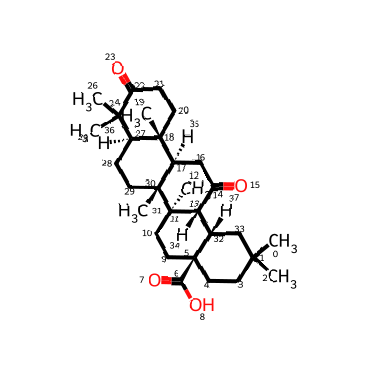 CC1(C)CC[C@]2(C(=O)O)CC[C@]3(C)[C@H](C(=O)C[C@@H]4[C@@]5(C)CCC(=O)C(C)(C)[C@@H]5CC[C@]43C)[C@@H]2C1